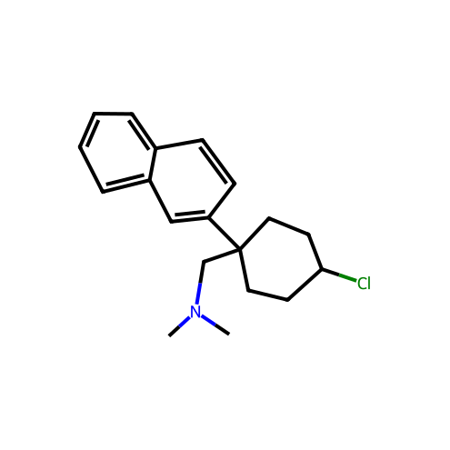 CN(C)CC1(c2ccc3ccccc3c2)CCC(Cl)CC1